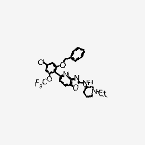 CCN1CCC[C@@H](Nc2nc3nc(-c4c(OCc5ccccc5)cc(Cl)cc4OC(F)(F)F)ccc3o2)C1